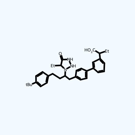 CCC(C(=O)O)c1cccc(-c2ccc(CC(CCc3ccc(C(C)(C)C)cc3)N3NNC(=O)C3CC)cc2)c1